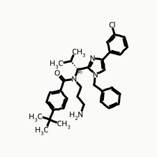 CC(C)[C@H](c1nc(-c2cccc(Cl)c2)cn1Cc1ccccc1)N(CCCN)C(=O)c1ccc(C(C)(C)C)cc1